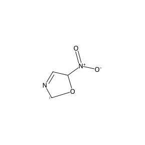 O=[N+]([O-])C1C=N[C]O1